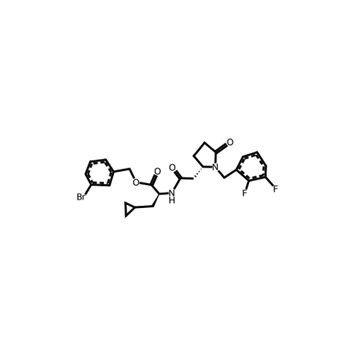 O=C(C[C@@H]1CCC(=O)N1Cc1cccc(F)c1F)N[C@@H](CC1CC1)C(=O)OCc1cccc(Br)c1